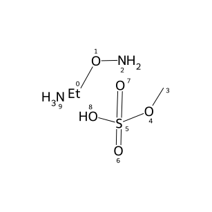 CCON.COS(=O)(=O)O.N